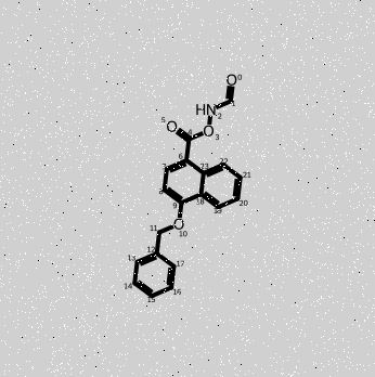 O=CNOC(=O)c1ccc(OCc2ccccc2)c2ccccc12